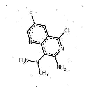 CN(N)c1c(N)nc(Cl)c2cc(F)cnc12